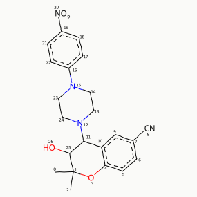 CC1(C)Oc2ccc(C#N)cc2C(N2CCN(c3ccc([N+](=O)[O-])cc3)CC2)C1O